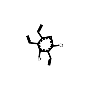 C=Cc1cc(CC)c(C=C)c(CC)c1C=C